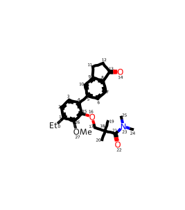 CCc1ccc(-c2ccc3c(c2)CCC3=O)c(OCC(C)(C)C(=O)N(C)C)c1OC